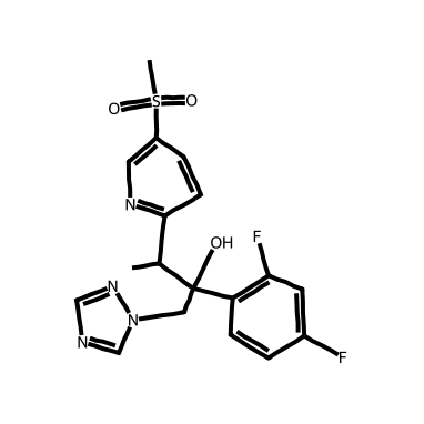 CC(c1ccc(S(C)(=O)=O)cn1)C(O)(Cn1cncn1)c1ccc(F)cc1F